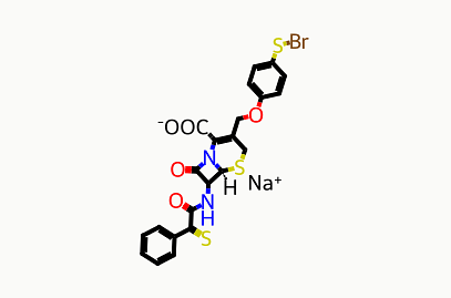 O=C([O-])C1=C(COc2ccc(SBr)cc2)CS[C@H]2C(NC(=O)C(=S)c3ccccc3)C(=O)N12.[Na+]